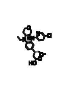 CCN(c1ccc([C@H](COC)CC(=O)O)cc1Nc1ccc(Cl)cn1)C1CCOCC1